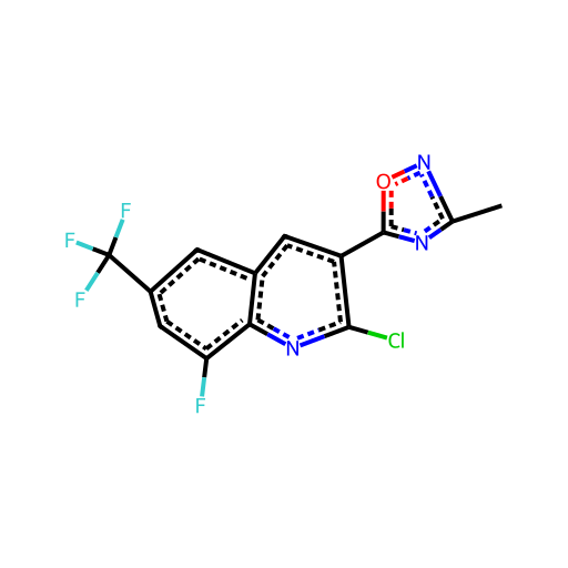 Cc1noc(-c2cc3cc(C(F)(F)F)cc(F)c3nc2Cl)n1